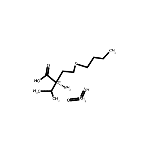 CCCCSCC[C@](N)(C(=O)O)C(C)C.N=[SH2]=O